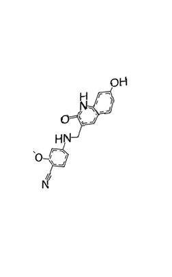 COc1cc(NCc2cc3ccc(O)cc3[nH]c2=O)ccc1C#N